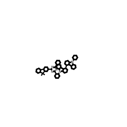 CC1(C)c2ccccc2-c2ccc(-c3nc(-c4ccccc4)nc(-c4ccccc4-n4c5ccccc5c5c(-c6cccc7c6c6ccccc6n7-c6ccccc6)cccc54)n3)cc21